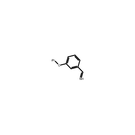 CC(C)Oc1cccc(C=N)c1